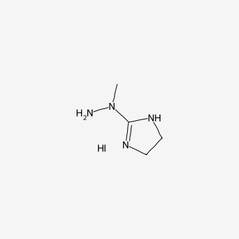 CN(N)C1=NCCN1.I